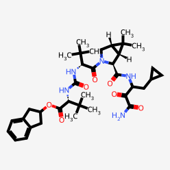 CC(C)(C)[C@@H](NC(=O)N[C@@H](C(=O)N1C[C@H]2[C@@H]([C@H]1C(=O)NC(CC1CC1)C(=O)C(N)=O)C2(C)C)C(C)(C)C)C(=O)OC1Cc2ccccc2C1